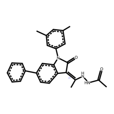 CC(=O)NN/C(C)=C1\C(=O)N(c2cc(C)cc(C)c2)c2cc(-c3ccccc3)ccc21